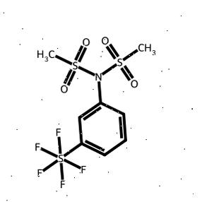 CS(=O)(=O)N(c1cccc(S(F)(F)(F)(F)F)c1)S(C)(=O)=O